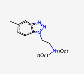 CCCCCCCCN(CCCCCCCC)CCn1nnc2cc(C)ccc21